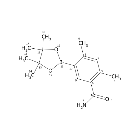 Cc1cc(C)c(C(N)=O)cc1B1OC(C)(C)C(C)(C)O1